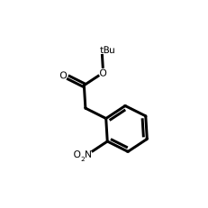 CC(C)(C)OC(=O)Cc1ccccc1[N+](=O)[O-]